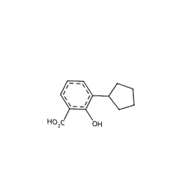 O=C(O)c1cccc(C2CCCC2)c1O